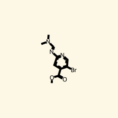 COC(=O)c1cc(N=CN(C)C)ncc1Br